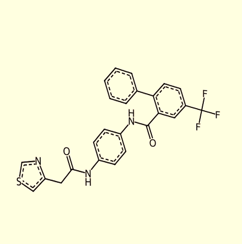 O=C(Cc1cscn1)Nc1ccc(NC(=O)c2cc(C(F)(F)F)ccc2-c2ccccc2)cc1